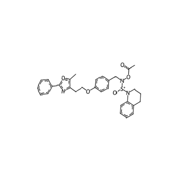 CC(=O)ON(Cc1ccc(OCCc2nc(-c3ccccc3)oc2C)cc1)[S+]([O-])N1CCCc2ccccc21